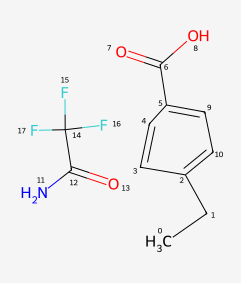 CCc1ccc(C(=O)O)cc1.NC(=O)C(F)(F)F